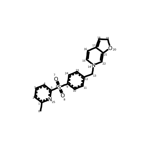 Cc1cccc(S(=O)(=O)c2ccc(CN3C=CC4=CCOC4=C3)cc2)n1